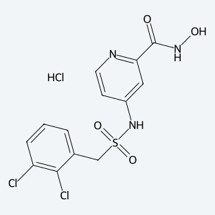 Cl.O=C(NO)c1cc(NS(=O)(=O)Cc2cccc(Cl)c2Cl)ccn1